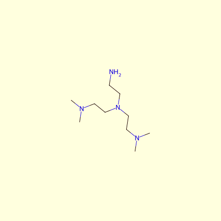 CN(C)CCN(CCN)CCN(C)C